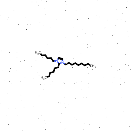 CCCCCCCCCN1C=CN(CCCCCC)C1CCCCCC